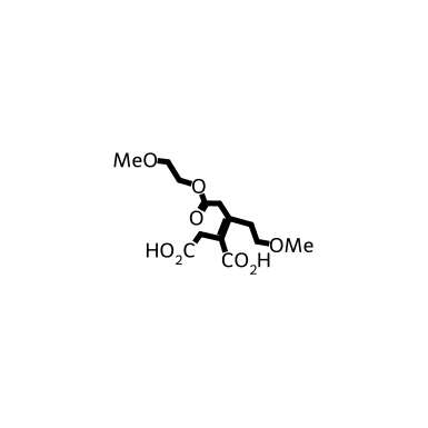 COCCOC(=O)CC(CCOC)=C(CC(=O)O)C(=O)O